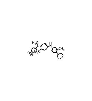 CC1=CCC(Nc2ccc(N3CCOCC3)c(C)c2)=CC=C1N(C)C1=CCS(=O)(=O)CC1